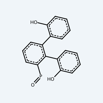 O=Pc1cccc(-c2ccccc2O)c1-c1ccccc1O